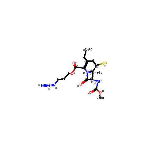 CC(=O)OCC1=C(C(=O)OCCCN=[N+]=[N-])N2C(=O)[C@H](NC(=O)OC(C)(C)C)[C@@H]2C(S)C1